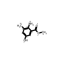 COC(=O)c1cc(O)cc(C)c1N